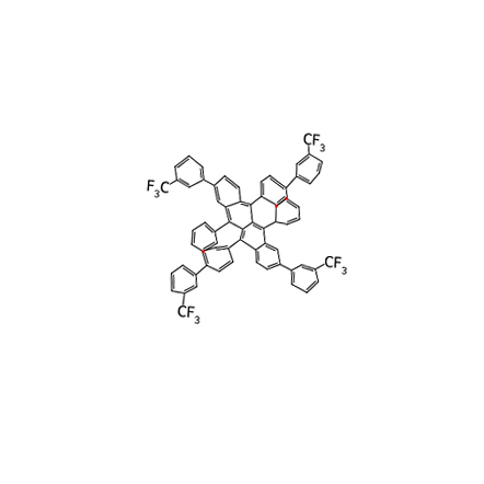 FC(F)(F)c1cccc(-c2ccc(-c3c4ccc(-c5cccc(C(F)(F)F)c5)cc4c(C4C=CC=CC4)c4c(-c5ccc(-c6cccc(C(F)(F)F)c6)cc5)c5ccc(-c6cccc(C(F)(F)F)c6)cc5c(-c5ccccc5)c34)cc2)c1